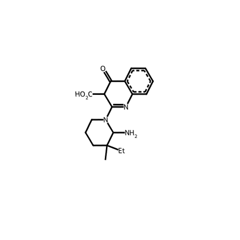 CCC1(C)CCCN(C2=Nc3ccccc3C(=O)C2C(=O)O)C1N